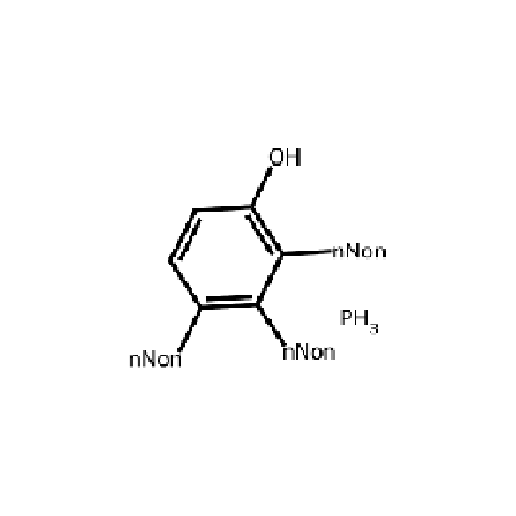 CCCCCCCCCc1ccc(O)c(CCCCCCCCC)c1CCCCCCCCC.P